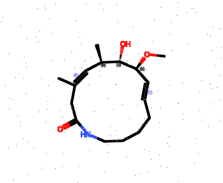 CO[C@H]1/C=C/CCCCNC(=O)C/C(C)=C\[C@@H](C)[C@@H]1O